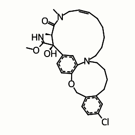 COC(=N)[C@@]1(O)c2ccc3c(c2)N(CCCCC/C=C\CN(C)C(=O)[C@@H]1C)CCCCc1cc(Cl)ccc1CO3